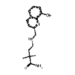 CC(C)(CCNCc1ccc2cccc(O)c2n1)C(N)=O